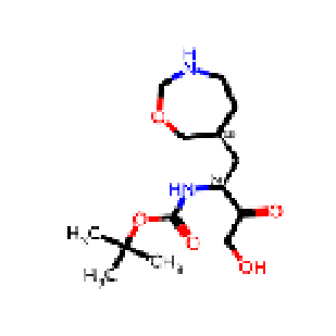 CC(C)(C)OC(=O)N[C@@H](C[C@@H]1CCNCOC1)C(=O)CO